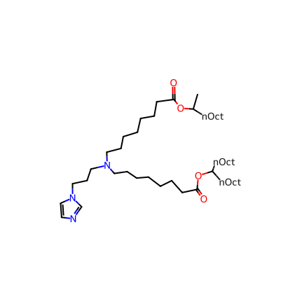 CCCCCCCCC(C)OC(=O)CCCCCCCN(CCCCCCCC(=O)OC(CCCCCCCC)CCCCCCCC)CCCn1ccnc1